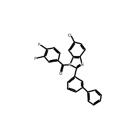 O=C(c1ccc(F)c(F)c1)n1c(-c2cccc(-c3ccccc3)c2)nc2ccc(Cl)cc21